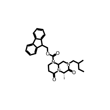 CCC(C)CN1CC2N(C(=O)OCC3c4ccccc4-c4ccccc43)CCC(=O)N2[C@@H](C)C1=O